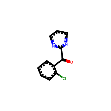 O=C(c1ncccn1)c1ccccc1Cl